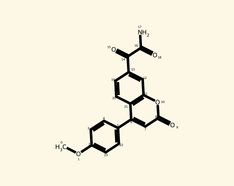 COc1ccc(-c2cc(=O)oc3cc(C(=O)C(N)=O)ccc23)cc1